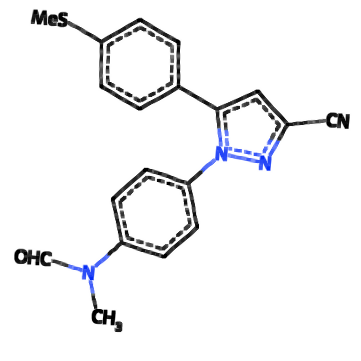 CSc1ccc(-c2cc(C#N)nn2-c2ccc(N(C)C=O)cc2)cc1